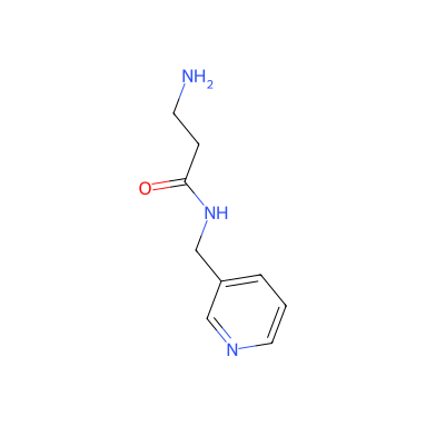 NCCC(=O)NCc1cccnc1